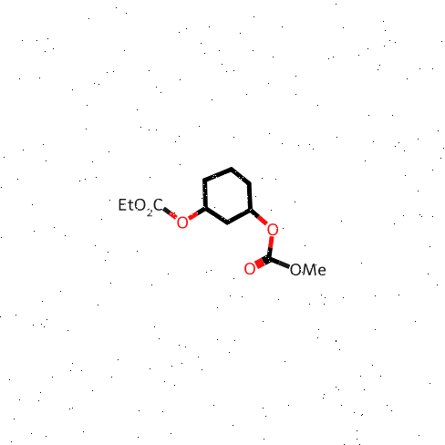 CCOC(=O)OC1CCCC(OC(=O)OC)C1